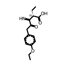 CCOc1ccc(CC(=O)C(=N)[C@H](CC)C(=O)O)cc1